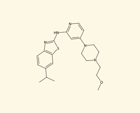 COCCN1CCN(c2ccnc(Nc3nc4ccc(C(C)C)cc4s3)c2)CC1